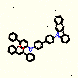 C1=C(c2ccc(N(c3ccc(-c4ccccc4)cc3)c3ccccc3-c3ccc4ccccc4c3)cc2)CCC(n2c3ccccc3c3cc4ccccc4cc32)=C1